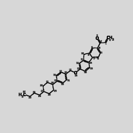 C=CC(=O)c1ccc2c(c1)Cc1cc(OCc3ccc(C4CCC(CCCC)CC4)cc3)ccc1-2